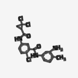 Cc1ccc(NC(=O)c2cc(NC(=O)C3CC3(Cl)Cl)ccc2Cl)cc1N